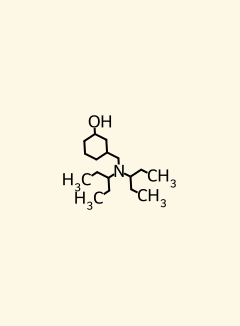 CCC(CC)N(CC1CCCC(O)C1)C(CC)CC